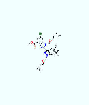 COC(=O)c1cc(Br)cc2c1nc(-c1nn(COCC[Si](C)(C)C)c3c1C[C@@H]1C[C@]1(C)C3)n2COCC[Si](C)(C)C